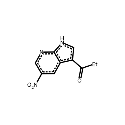 CCC(=O)c1c[nH]c2ncc([N+](=O)[O-])cc12